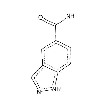 [NH]C(=O)c1ccc2[nH]ncc2c1